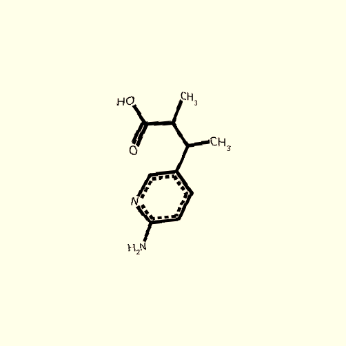 CC(C(=O)O)C(C)c1ccc(N)nc1